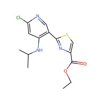 CCOC(=O)c1csc(-c2cnc(Cl)cc2NC(C)C)n1